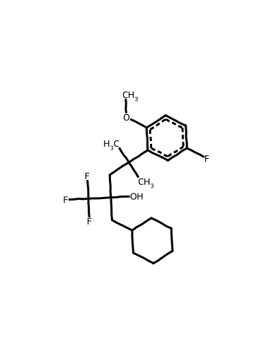 COc1ccc(F)cc1C(C)(C)CC(O)(CC1CCCCC1)C(F)(F)F